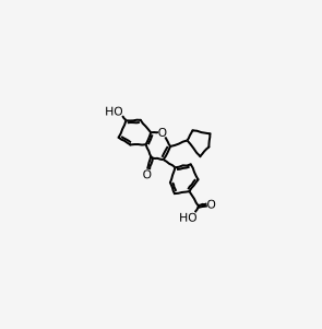 O=C(O)c1ccc(-c2c(C3CCCC3)oc3cc(O)ccc3c2=O)cc1